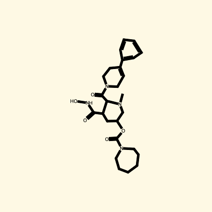 CN1CC(OC(=O)N2CCCCCC2)CC(C(=O)NO)C1C(=O)N1CC=C(c2ccccc2)CC1